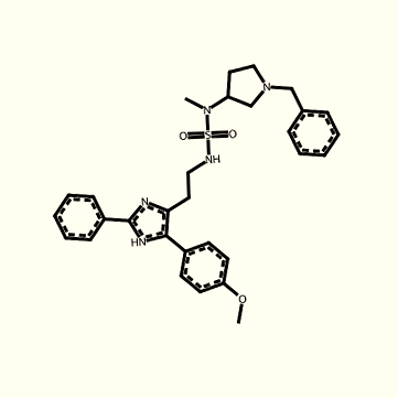 COc1ccc(-c2[nH]c(-c3ccccc3)nc2CCNS(=O)(=O)N(C)C2CCN(Cc3ccccc3)C2)cc1